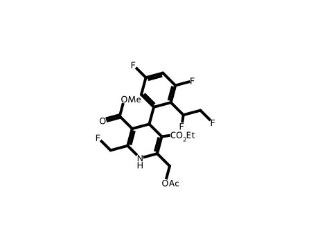 CCOC(=O)C1=C(COC(C)=O)NC(CF)=C(C(=O)OC)C1c1cc(F)cc(F)c1C(F)CF